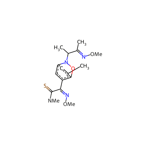 CNC(=S)C(=NOC)c1cc2cc(C)c1ON2C(C)C(C)=NOC